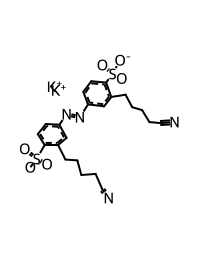 N#CCCCCc1cc(N=Nc2ccc(S(=O)(=O)[O-])c(CCCCC#N)c2)ccc1S(=O)(=O)[O-].[K+].[K+]